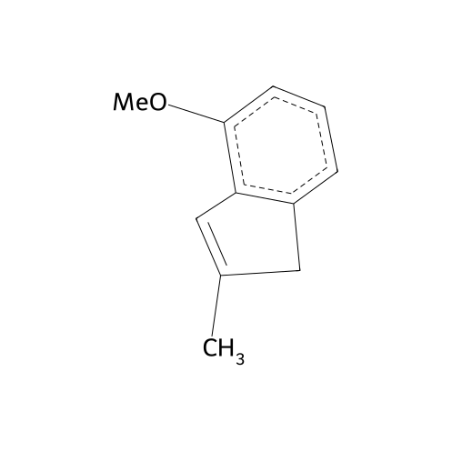 COc1cccc2c1C=C(C)C2